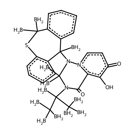 BC1(B)Sc2ccccc2C(B)(N2n3ccc(=O)c(O)c3C(=O)N(C(B)(C(B)(B)B)C(B)(B)B)C2(B)B)c2ccccc21